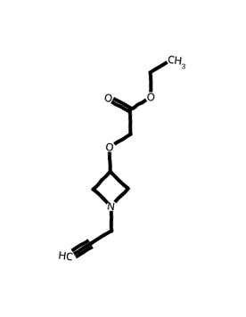 C#CCN1CC(OCC(=O)OCC)C1